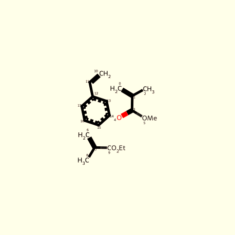 C=C(C)C(=O)OC.C=C(C)C(=O)OCC.C=Cc1ccccc1